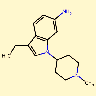 CCc1cn(C2CCN(C)CC2)c2cc(N)ccc12